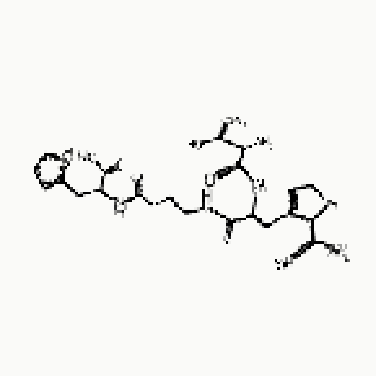 CC(O)C(N)C(=O)NC(CC1=CCNC1C(=N)N)C(=O)NCCCC(=O)NC(Cc1ccc[nH]1)C(=O)O